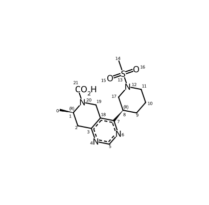 C[C@@H]1Cc2ncnc([C@@H]3CCCN(S(C)(=O)=O)C3)c2CN1C(=O)O